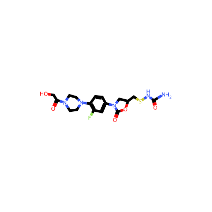 NC(=O)NSCC1CN(c2ccc(N3CCN(C(=O)CO)CC3)c(F)c2)C(=O)O1